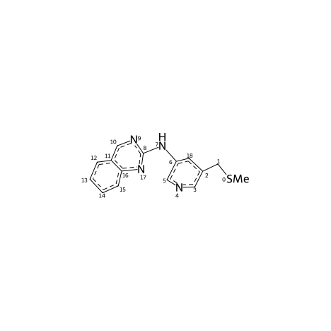 CSCc1cncc(Nc2ncc3ccccc3n2)c1